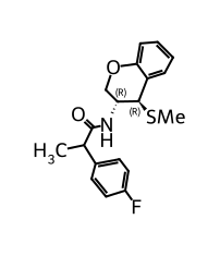 CS[C@@H]1c2ccccc2OC[C@H]1NC(=O)C(C)c1ccc(F)cc1